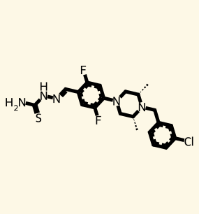 C[C@@H]1CN(c2cc(F)c(C=NNC(N)=S)cc2F)C[C@H](C)N1Cc1cccc(Cl)c1